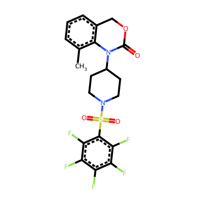 Cc1cccc2c1N(C1CCN(S(=O)(=O)c3c(F)c(F)c(F)c(F)c3F)CC1)C(=O)OC2